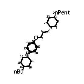 CCCCC[C@H]1CC[C@H](CCCOc2ccc([C@H]3CC[C@H](CCCC)CC3)cc2)CC1